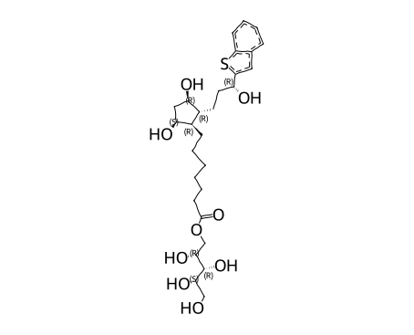 O=C(CCCCCC[C@@H]1[C@@H](CC[C@@H](O)c2cc3ccccc3s2)[C@H](O)C[C@@H]1O)OC[C@@H](O)[C@H](O)[C@@H](O)CO